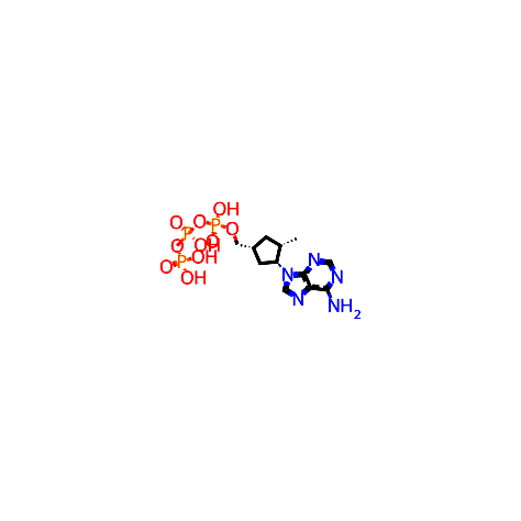 C[C@H]1C[C@@H](COP(=O)(O)OP(=O)(O)OP(=O)(O)O)C[C@H]1n1cnc2c(N)ncnc21